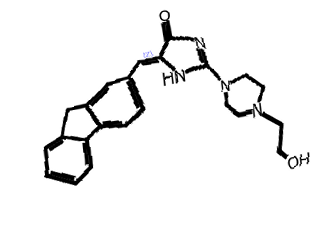 O=C1N=C(N2CCN(CCO)CC2)N/C1=C\c1ccc2c(c1)Cc1ccccc1-2